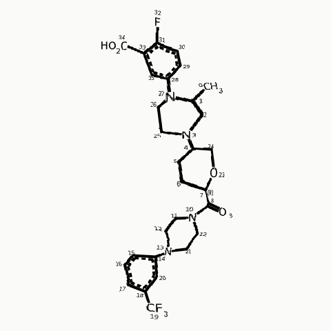 CC1CN(C2CC[C@H](C(=O)N3CCN(c4cccc(C(F)(F)F)c4)CC3)OC2)CCN1c1ccc(F)c(C(=O)O)c1